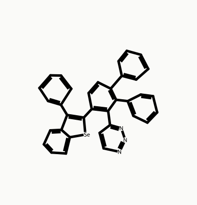 c1ccc(-c2ccc(-c3[se]c4ccccc4c3-c3ccccc3)c(-c3ccnnn3)c2-c2ccccc2)cc1